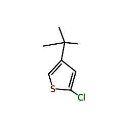 CC(C)(C)c1csc(Cl)c1